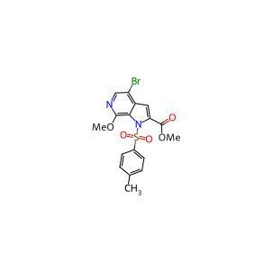 COC(=O)c1cc2c(Br)cnc(OC)c2n1S(=O)(=O)c1ccc(C)cc1